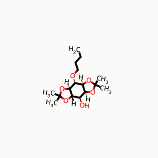 CCCCO[C@@H]1[C@H]2OC(C)(C)O[C@H]2[C@@H](O)[C@@H]2OC(C)(C)O[C@@H]12